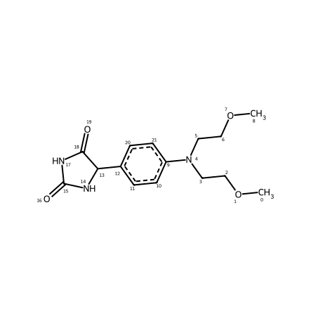 COCCN(CCOC)c1ccc(C2NC(=O)NC2=O)cc1